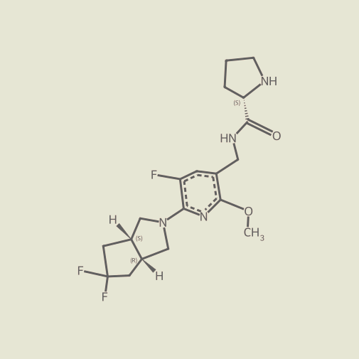 COc1nc(N2C[C@@H]3CC(F)(F)C[C@@H]3C2)c(F)cc1CNC(=O)[C@@H]1CCCN1